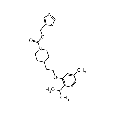 Cc1ccc(C(C)C)c(OCCC2CCN(C(=O)OCc3cncs3)CC2)c1